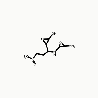 C[PH](=O)CCC(NC1OC1N)C1OC1O